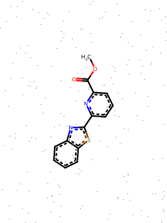 COC(=O)c1cccc(-c2nc3ccccc3s2)n1